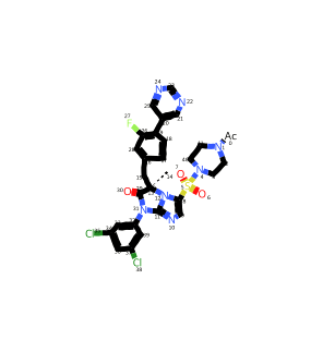 CC(=O)N1CCN(S(=O)(=O)c2cnc3n2[C@](C)(Cc2ccc(-c4cncnc4)c(F)c2)C(=O)N3c2cc(Cl)cc(Cl)c2)CC1